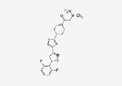 CN(N)CC(=O)N1CCC(c2nc(C3=NOC(c4c(F)cccc4F)C3)cs2)CC1